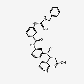 N=C(NCc1ccccc1)Nc1cccc(C(=O)Nc2cccc([S+]([O-])C(CC(=O)O)c3cccnc3)c2)c1